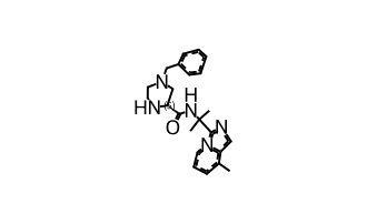 Cc1cccn2c(C(C)(C)NC(=O)[C@@H]3CN(Cc4ccccc4)CCN3)ncc12